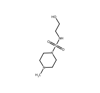 CN1CCN(S(=O)(=O)NCCO)CC1